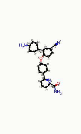 N#Cc1ccc(Oc2ccc(-c3cccc(C(N)=O)n3)cc2)c(-c2ccc(N)cc2)c1